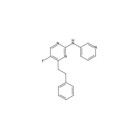 Fc1cnc(Nc2cccnc2)nc1CCc1ccccc1